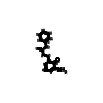 CN(CCn1cncc(N)c1=O)Cc1ccccc1